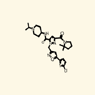 CC(C)N1CCC(NC(=O)c2cc(C(=O)N3CCCC3(C)C)nn2Cc2cc(-c3ccc(Cl)s3)on2)CC1